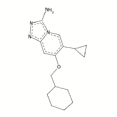 Nc1nnc2cc(OCC3CCCCC3)c(C3CC3)cn12